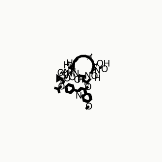 COc1ccc2c(O[C@@H]3C[C@H]4C(=O)N[C@]5(C(=O)NS(=O)(=O)C6(CF)CC6)C[C@H]5C=CCC[C@@H](C)C[C@@H](C)[C@H](NC(=O)O)C(=O)N4C3)cc(-c3ccc(OC(C)C)cc3)nc2c1